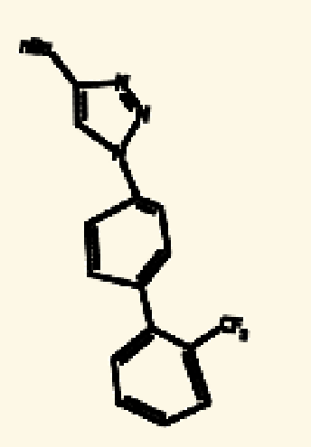 CCCCc1cn(-c2ccc(-c3ccccc3C(F)(F)F)cc2)nn1